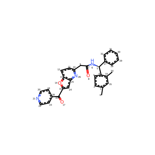 Cc1ccc([C@@H](NC(=O)Cc2ccc3oc(C(=O)c4ccncc4)cc3n2)c2ccccc2)c(C)c1